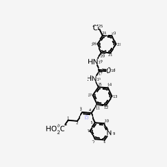 O=C(O)CC/C=C(\c1cccnc1)c1cccc(NC(=O)Nc2cccc(Cl)c2)c1